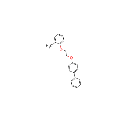 Cc1ccccc1OCCOc1ccc(-c2ccccc2)cc1